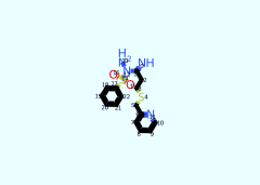 N=C(CCSCc1ccccn1)N(N)S(=O)(=O)c1ccccc1